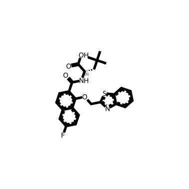 CC(C)(C)C[C@H](NC(=O)c1ccc2cc(F)ccc2c1OCc1nc2ccccc2s1)C(=O)O